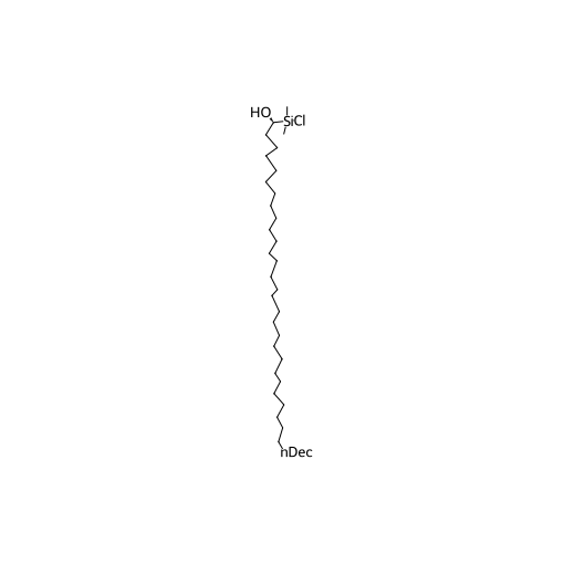 CCCCCCCCCCCCCCCCCCCCCCCCCCCCCCCCCCCCC[C@@H](O)[Si](C)(C)Cl